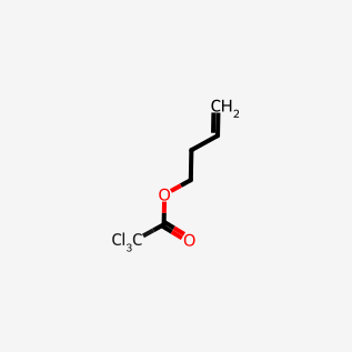 C=CCCOC(=O)C(Cl)(Cl)Cl